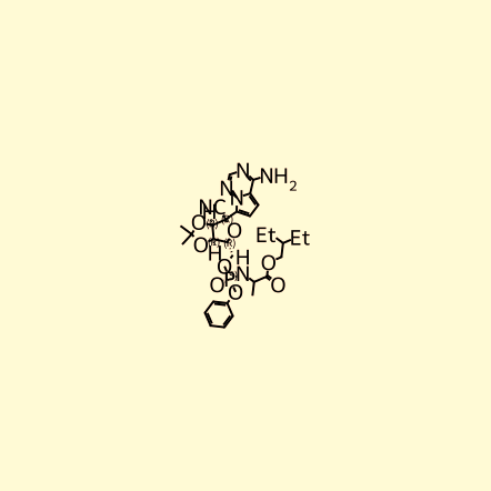 CCC(CC)COC(=O)C(C)N[P@](=O)(OC[C@H]1O[C@@](C#N)(c2ccc3c(N)ncnn23)[C@@H]2OC(C)(C)O[C@@H]21)Oc1ccccc1